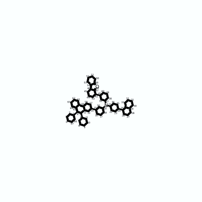 c1ccc(-c2c(-c3ccccc3)c3cc(-c4cccc(N(c5ccc(-c6cccc7ccccc67)cc5)c5cccc(-c6cccc7c6oc6ccccc67)c5)c4)ccc3c3ccccc23)cc1